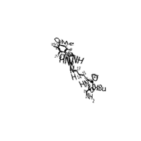 COc1cc(C)c(S(=O)(=O)NC(=N)NCCC[C@H](NC(=O)CN)C(=O)OC(C)(C)C)c(C)c1C